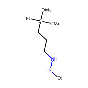 CCNNCCC[Si](CC)(OC)OC